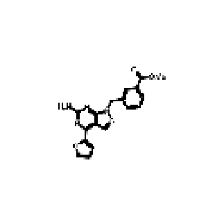 COC(=O)c1cccc(Cn2ncc3c(-c4ccco4)nc(N)nc32)c1